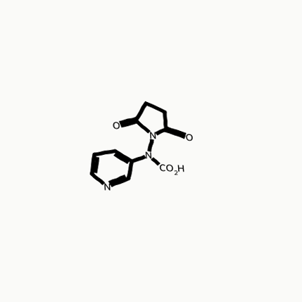 O=C1CCC(=O)N1N(C(=O)O)c1cccnc1